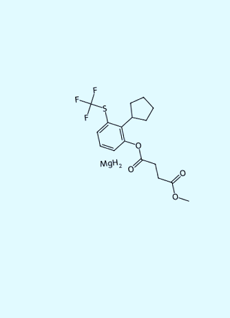 COC(=O)CCC(=O)Oc1cccc(SC(F)(F)F)c1C1CCCC1.[MgH2]